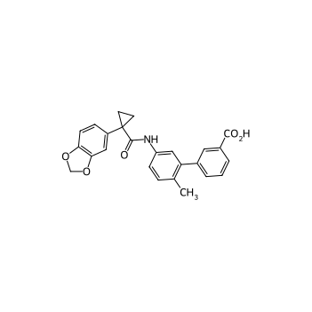 Cc1ccc(NC(=O)C2(c3ccc4c(c3)OCO4)CC2)cc1-c1cccc(C(=O)O)c1